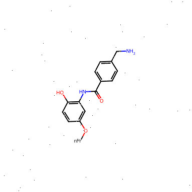 CCCOc1ccc(O)c(NC(=O)c2ccc(CN)cc2)c1